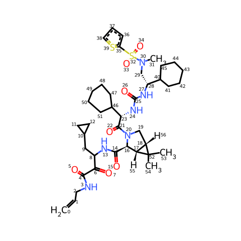 C=CCNC(=O)C(=O)C(CC1CC1)NC(=O)[C@@H]1[C@@H]2[C@H](CN1C(=O)[C@@H](NC(=O)N[C@H](CN(C)S(=O)(=O)c1cccs1)C1CCCCC1)C1CCCCC1)C2(C)C